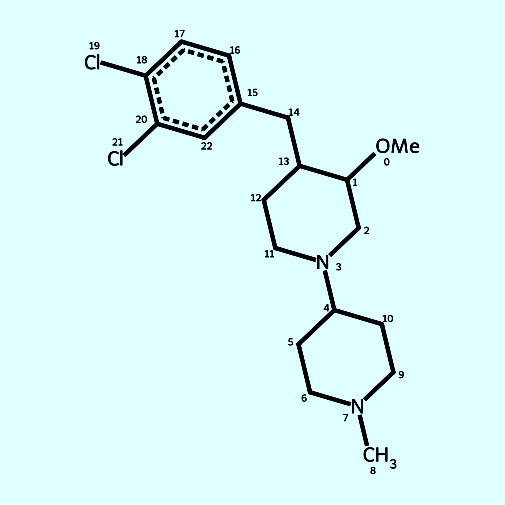 COC1CN(C2CCN(C)CC2)CCC1Cc1ccc(Cl)c(Cl)c1